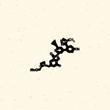 COC[C@H]1CCN1Cc1cc(F)c2c(c1)C(=O)N(c1cc(-c3ccc(C#N)cc3-c3nncn3C)cc(C3CC3)n1)C2